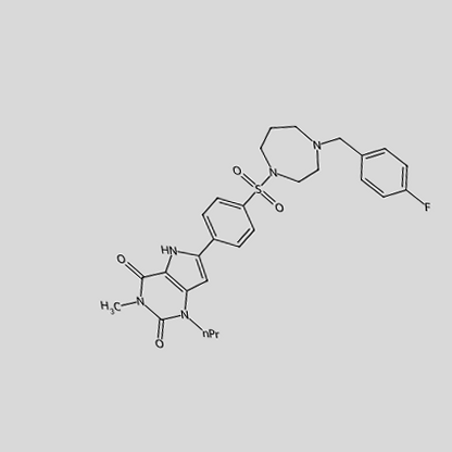 CCCn1c(=O)n(C)c(=O)c2[nH]c(-c3ccc(S(=O)(=O)N4CCCN(Cc5ccc(F)cc5)CC4)cc3)cc21